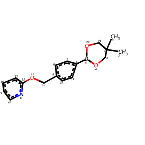 CC1(C)COB(c2ccc(COc3ccccn3)cc2)OC1